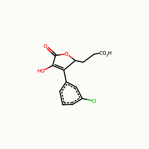 O=C(O)CCC1OC(=O)C(O)=C1c1cccc(Cl)c1